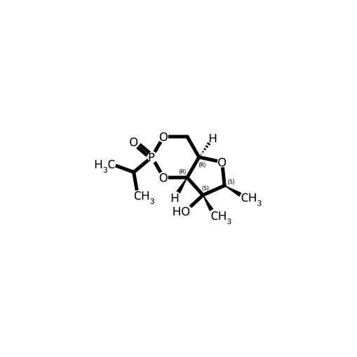 CC(C)P1(=O)OC[C@H]2O[C@@H](C)[C@](C)(O)[C@@H]2O1